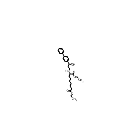 CCOC(=O)CCCCCCC(NCCC(O)c1ccc(-c2ccccc2)cc1)C(=O)OCC